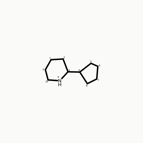 C1CCC(C2CCCC2)NC1